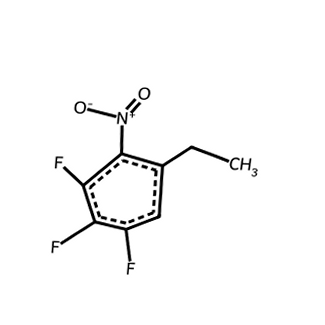 CCc1cc(F)c(F)c(F)c1[N+](=O)[O-]